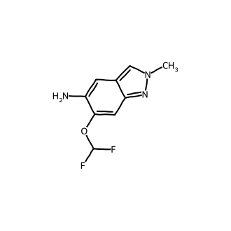 Cn1cc2cc(N)c(OC(F)F)cc2n1